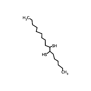 CCCCCCCCCC(S)C(S)CCCCCC